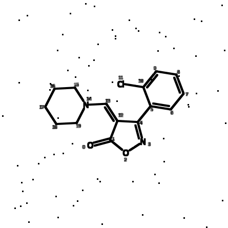 O=C1ON=C(c2ccccc2Cl)C1=CN1CCCCC1